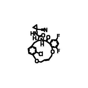 N#CC1(NC(=O)[C@@H]2Cc3ccc(c(Cl)c3)OC/C=C/COc3c(F)cc(F)cc3C(=O)N2)CC1